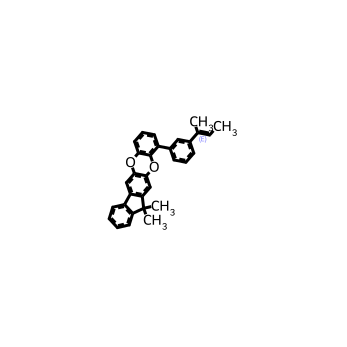 C/C=C(\C)c1cccc(-c2cccc3c2Oc2cc4c(cc2O3)-c2ccccc2C4(C)C)c1